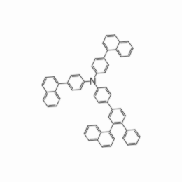 c1ccc(-c2ccc(-c3ccc(N(c4ccc(-c5cccc6ccccc56)cc4)c4ccc(-c5cccc6ccccc56)cc4)cc3)cc2-c2cccc3ccccc23)cc1